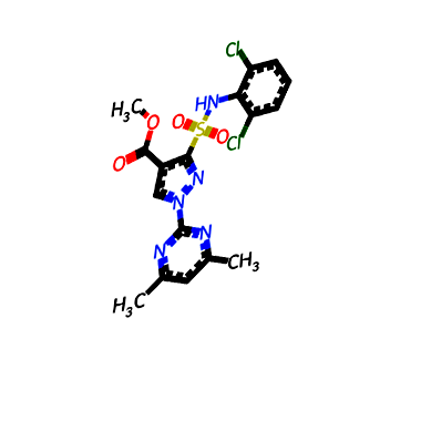 COC(=O)c1cn(-c2nc(C)cc(C)n2)nc1S(=O)(=O)Nc1c(Cl)cccc1Cl